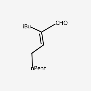 CCCCCCC=C(C=O)C(C)CC